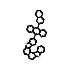 C1=CC2=CC=C(c3c4ccccc4c(-c4ccc5c(c4)sc4ccc6ccc7sc8ccccc8c7c6c45)c4ccccc34)CC2C=C1